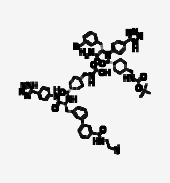 CC(C)(C)OC(=O)NC[C@H]1CC[C@H](C(=O)N(c2ccc(-c3nnn[nH]3)cc2)[C@@H](Cc2cccc(Br)c2)C(N)=O)CC1.CN(C)CCNC(=O)c1cccc(-c2cccc(C[C@H](NC(=O)[C@H]3CC[C@H](CNC(=O)O)CC3)C(=O)Nc3ccc(-c4nnn[nH]4)cc3)c2)c1